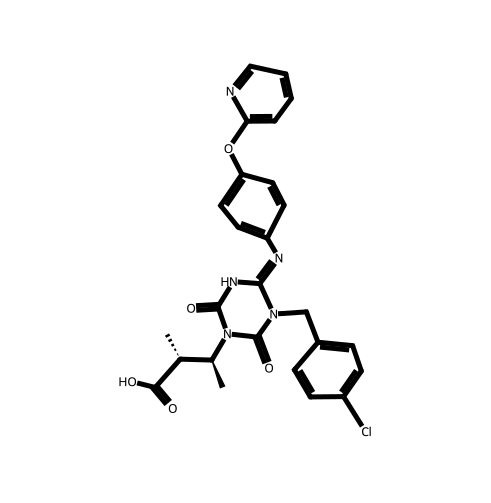 C[C@@H](C(=O)O)[C@H](C)n1c(=O)[nH]/c(=N\c2ccc(Oc3ccccn3)cc2)n(Cc2ccc(Cl)cc2)c1=O